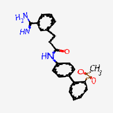 CS(=O)(=O)c1ccccc1-c1ccc(NC(=O)CCc2cccc(C(=N)N)c2)cc1